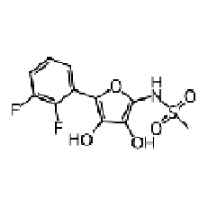 CS(=O)(=O)Nc1oc(-c2cccc(F)c2F)c(O)c1O